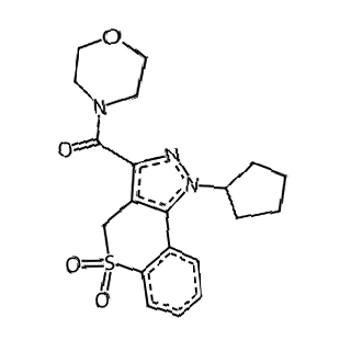 O=C(c1nn(C2CCCC2)c2c1CS(=O)(=O)c1ccccc1-2)N1CCOCC1